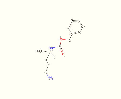 CC(CCCN)(NC(=O)OCc1ccccc1)C(=O)O